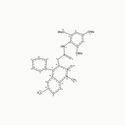 COc1cc(OC)c(NC(=O)Cc2c(-c3ccccc3)c3cc(C)ccc3n(C)c2=O)c(OC)c1